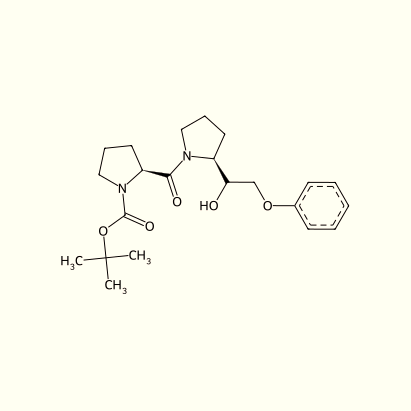 CC(C)(C)OC(=O)N1CCC[C@H]1C(=O)N1CCC[C@H]1C(O)COc1ccccc1